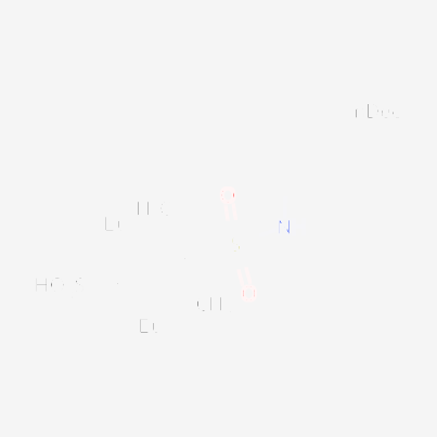 CCCCCCCCCCCCNS(=O)(=O)C(C)(C)C(CC)(CC)S(=O)(=O)O